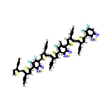 CC#Cc1ccsc1-c1sc(-c2c(F)c(F)c(-c3cc(C#CC)c(-c4sc(-c5c(F)c(C)c(-c6cc(C#CC)c(-c7sc(-c8c(F)c(F)cc9nsnc89)cc7C#CC)s6)c6nsnc56)cc4C#CC)s3)c3nsnc23)cc1C#CC